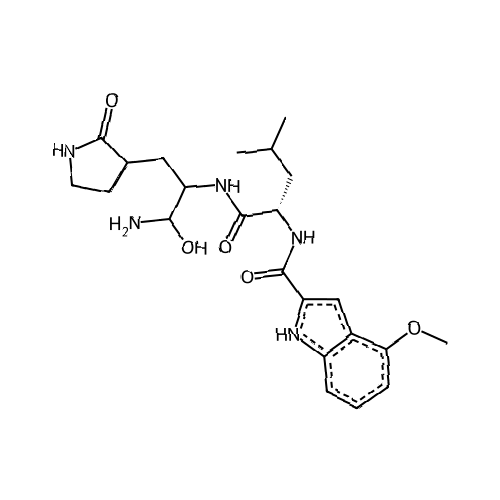 COc1cccc2[nH]c(C(=O)N[C@@H](CC(C)C)C(=O)NC(CC3CCNC3=O)C(N)O)cc12